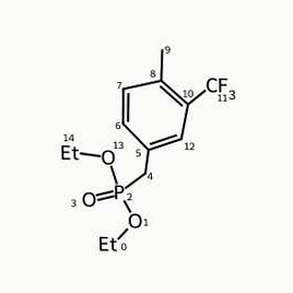 CCOP(=O)(Cc1ccc(C)c(C(F)(F)F)c1)OCC